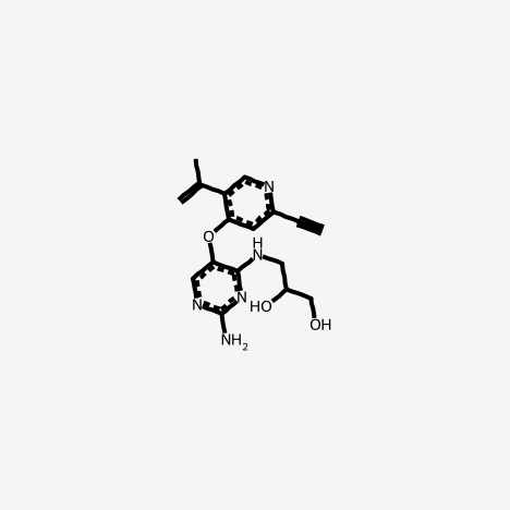 C#Cc1cc(Oc2cnc(N)nc2NCC(O)CO)c(C(=C)C)cn1